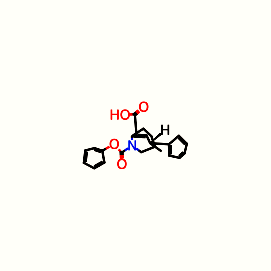 CC12CCC(C(C(=O)O)=C[C@@H]1c1ccccc1)N(C(=O)Oc1ccccc1)C2